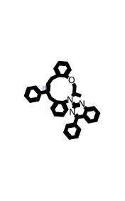 CC1COc2ccccc2C/C=C(/c2ccccc2)Cc2ccccc2N1c1nc(-c2ccccc2)c2ccccc2n1